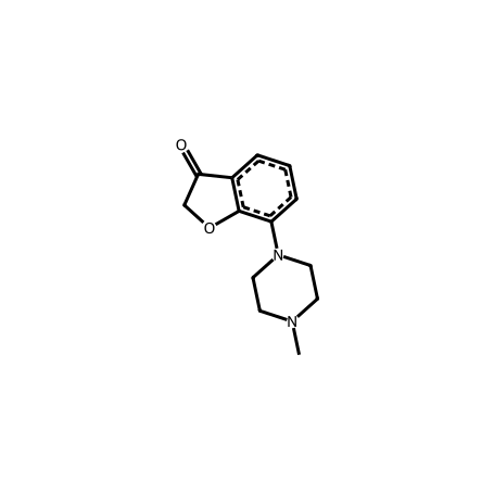 CN1CCN(c2cccc3c2OCC3=O)CC1